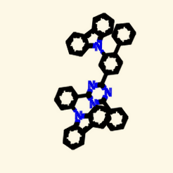 c1ccc(-c2nc(-c3ccc(-c4ccccc4)c(-n4c5ccccc5c5ccccc54)c3)nc(-c3ccccc3-n3c4ccccc4c4ccccc43)n2)cc1